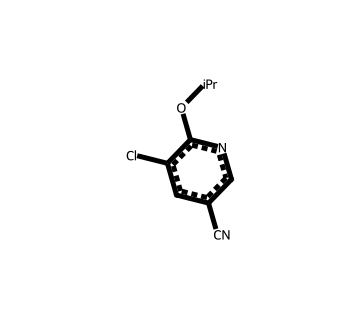 CC(C)Oc1ncc(C#N)cc1Cl